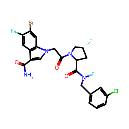 NC(=O)c1cn(CC(=O)N2C[C@H](F)C[C@H]2C(=O)N(F)Cc2cccc(Cl)c2)c2cc(Br)c(F)cc12